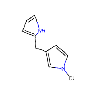 CCn1ccc(Cc2ccc[nH]2)c1